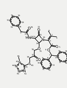 CC(C)=C(C(=O)OC(c1ccccc1)c1ccccc1)N1C(=O)C(NC(=O)Cc2ccccc2)C1OCC(=O)CSc1nnnn1C